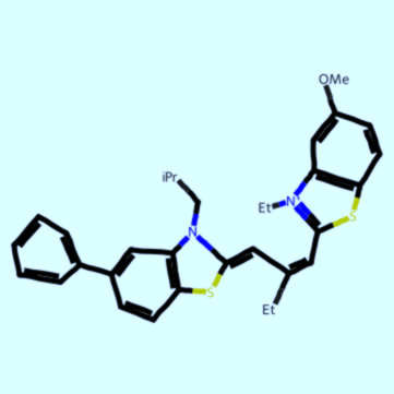 CCC(=Cc1sc2ccc(OC)cc2[n+]1CC)/C=C1\Sc2ccc(-c3ccccc3)cc2N1CC(C)C